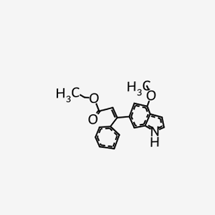 CCOC(=O)C=C(c1ccccc1)c1cc(OC)c2cc[nH]c2c1